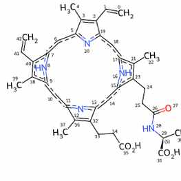 C=CC1=C(C)c2cc3[nH]c(cc4nc(cc5[nH]c(cc1n2)c(C)c5CCC(=O)N[C@@H](C)C(=O)O)C(CCC(=O)O)=C4C)c(C)c3C=C